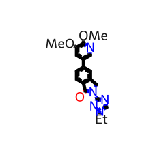 CCn1cnc(N2Cc3cc(-c4cnc(OC)c(OC)c4)ccc3C2=O)n1